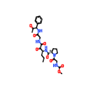 CCCC(NC(=O)[C@@H]1CCCN1C(=O)CNC(=O)OC)C(=O)C(=O)NCC(=O)NC(C(C)=O)c1ccccc1